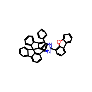 c1ccc(-c2cc(-c3cccc4c3C3(c5ccccc5-c5ccccc53)c3ccccc3-4)nc(-c3cccc4c3oc3ccccc34)n2)cc1